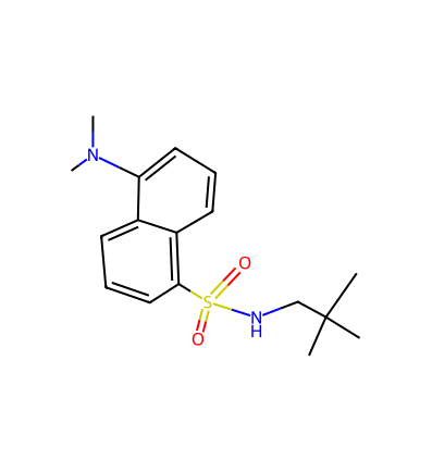 CN(C)c1cccc2c(S(=O)(=O)NCC(C)(C)C)cccc12